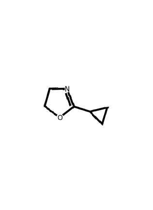 C1COC(C2CC2)=N1